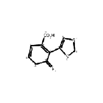 O=C(O)C1=C(C2=CSCS2)C(=S)CC=C1